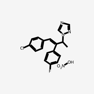 CC(C(=Cc1ccc(Cl)cc1)c1ccc(F)cc1)n1cncn1.O=[N+]([O-])O